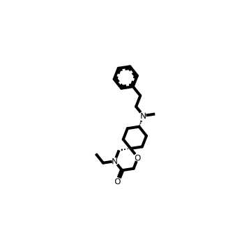 CCN1C[C@]2(CC[C@@H](N(C)CCc3ccccc3)CC2)OCC1=O